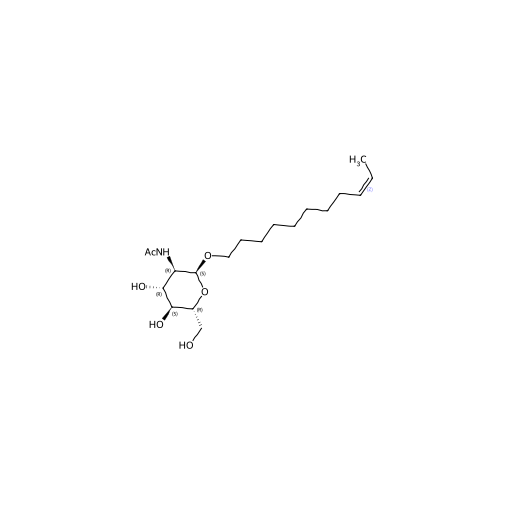 C/C=C\CCCCCCCCO[C@H]1O[C@H](CO)[C@@H](O)[C@H](O)[C@H]1NC(C)=O